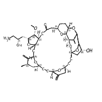 C=C1C[C@@H]2CC[C@]34C[C@@H](O)C(O3)C3O[C@H]5CC[C@H](CC(=O)C[C@@H]6[C@@H](OC)[C@@H](C[C@H](O)CN)O[C@H]6C[C@H]6O[C@@H](CC[C@@H]1O2)C[C@@H](C)C6=C)O[C@@H]5[C@H](O4)C3C